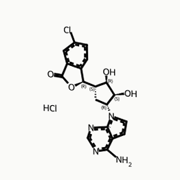 Cl.Nc1ncnc2c1ccn2[C@@H]1C[C@H]([C@H]2OC(=O)c3cc(Cl)ccc32)[C@@H](O)[C@H]1O